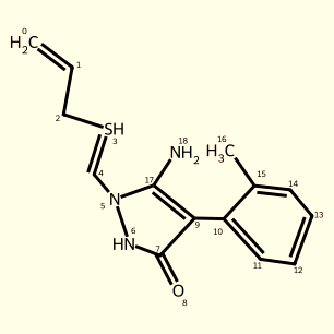 C=CC[SH]=Cn1[nH]c(=O)c(-c2ccccc2C)c1N